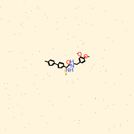 COc1ccc(CCNC(=O)C(NSC)c2ccc(-c3ccc(C)cc3)cc2)cc1OC